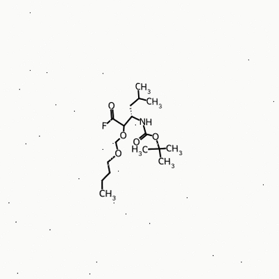 CCCCOCOC(C(=O)F)[C@H](CC(C)C)NC(=O)OC(C)(C)C